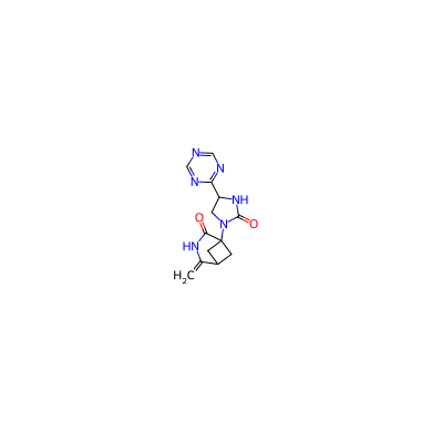 C=C1NC(=O)C2(N3CC(c4ncncn4)NC3=O)CC1C2